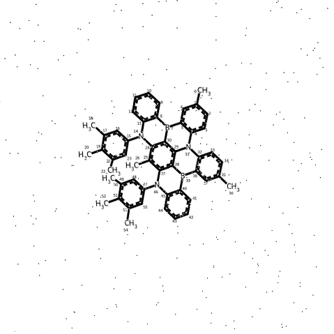 Cc1ccc2c(c1)B1c3ccccc3N(c3cc(C)c(C)c(C)c3)c3c(C)c4c5c(c31)N2c1ccc(C)cc1B5c1ccccc1N4c1cc(C)c(C)c(C)c1